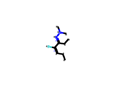 CC/C=C(F)\C(CC)=N\N(C)C